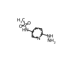 CS(=O)(=O)Nc1ccc(NN)nc1